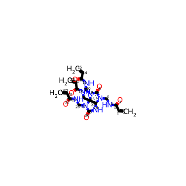 C=CC(=O)NCN1C(=O)N(CNC(=O)C=C)C2(CNC(=O)C=C)C1NC(=O)N2CNC(=O)C=C